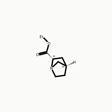 CCOC(=O)[C@@H]1C[C@H]2CCN1C2